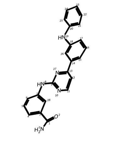 NC(=O)c1cccc(Nc2nccc(-c3cccc(Nc4ccccc4)c3)n2)c1